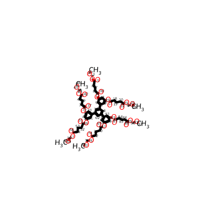 COCOC(=O)CCCC(=O)Oc1cc(OC(=O)CCCC(=O)OCOC)cc(-c2cc(-c3cc(OC(=O)CCCC(=O)OCOC)cc(OC(=O)CCCC(=O)OCOC)c3)cc(-c3cc(OC(=O)CCCC(=O)OCOC)cc(OC(=O)CCCC(=O)OCOC)c3)c2)c1